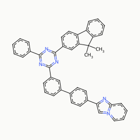 CC1(C)c2ccccc2-c2ccc(-c3nc(-c4ccccc4)nc(-c4cccc(-c5ccc(-c6cn7ccccc7n6)cc5)c4)n3)cc21